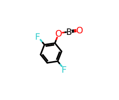 O=BOc1cc(F)ccc1F